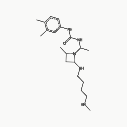 CNCCCCNC1CC(C)N1C(C)NC(=O)Nc1ccc(C)c(C)c1